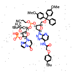 COc1ccc(C(OC[C@H]2O[C@@H](n3nnc4c(NC(=O)COc5ccc(C(C)(C)C)cc5)ccnc43)C[C@@H]2OP(OCCC#N)OC[C@H]2O[C@@H](n3ccc(=O)n4ccnc34)[C@H](O[PH](=O)O)[C@@H]2O[Si](C)(C)C(C)(C)C)(c2ccccc2)c2ccc(OC)cc2)cc1